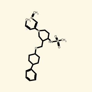 C=N/C=C(\C=C/C)N1CCC(NS(C)(=O)=O)C(COC2CCC(c3ccccc3)CC2)C1